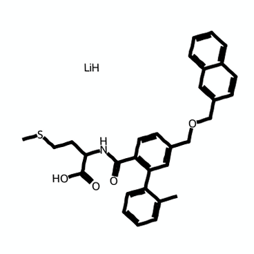 CSCCC(NC(=O)c1ccc(COCc2ccc3ccccc3c2)cc1-c1ccccc1C)C(=O)O.[LiH]